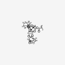 C=C(C)C(=O)OC1O[C@H](C2COC3(O2)C2CC4CC(C2)C(=O)C3C4)[C@@H]2OC3(O[C@H]12)C1CC2CC(C1)C(=O)C3C2